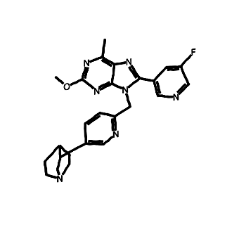 COc1nc(C)c2nc(-c3cncc(F)c3)n(Cc3ccc(C4CN5CCC4CC5)cn3)c2n1